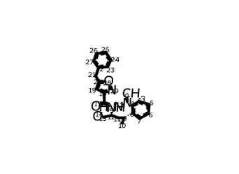 CN(N)c1ccccc1[C@@H]1C[C@@H]1[C@@H](C=O)NC(=O)c1cc(Cc2ccccc2)on1